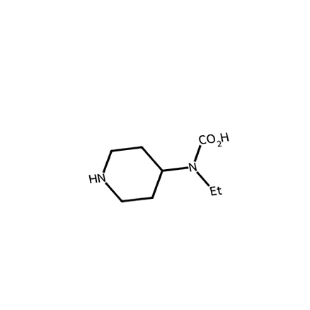 CCN(C(=O)O)C1CCNCC1